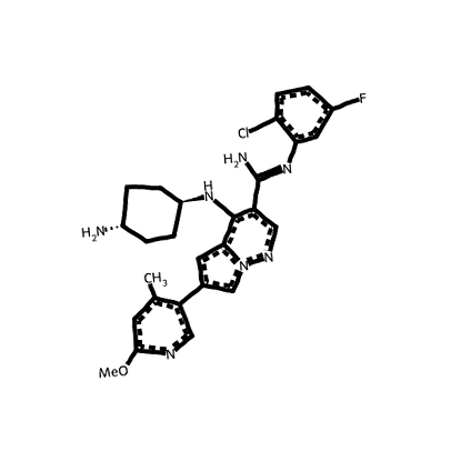 COc1cc(C)c(-c2cc3c(N[C@H]4CC[C@H](N)CC4)c(/C(N)=N/c4cc(F)ccc4Cl)cnn3c2)cn1